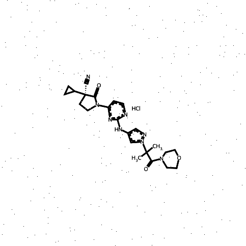 CC(C)(C(=O)N1CCOCC1)n1cc(Nc2nccc(N3CC[C@@](C#N)(C4CC4)C3=O)n2)cn1.Cl